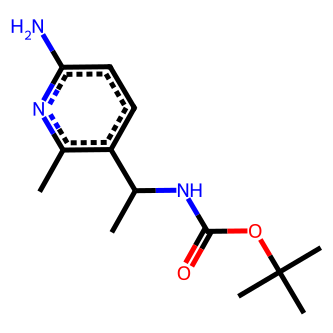 Cc1nc(N)ccc1C(C)NC(=O)OC(C)(C)C